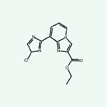 CCOC(=O)c1cn2cccc(C3=NC(Cl)C=N3)c2n1